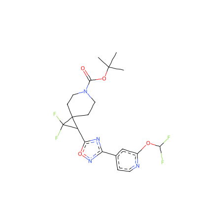 CC(C)(C)OC(=O)N1CCC2(CC1)C(c1nc(-c3ccnc(OC(F)F)c3)no1)C2(F)F